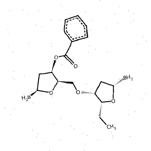 B[C@H]1C[C@@H](OC[C@H]2O[C@@H](B)C[C@H]2OC(=O)c2ccccc2)[C@@H](CC)O1